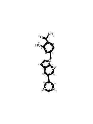 NC(=O)c1ccc(Cn2ccc3cc(-c4cncnc4)cnc32)cc1O